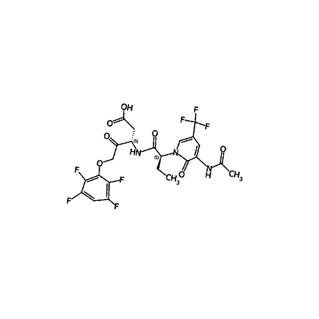 CC[C@@H](C(=O)N[C@@H](CC(=O)O)C(=O)COc1c(F)c(F)cc(F)c1F)n1cc(C(F)(F)F)cc(NC(C)=O)c1=O